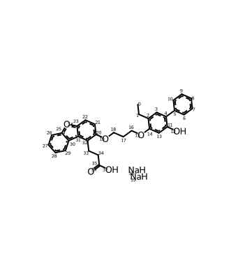 CCc1cc(-c2ccccc2)c(O)cc1OCCCOc1ccc2oc3ccccc3c2c1CCC(=O)O.[NaH].[NaH]